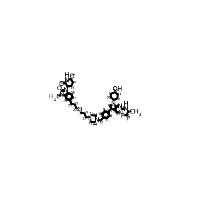 C[C@@H](Nc1ncc2c(-c3ccc(CN4CCN(CCCOCCCc5ccc6c(c5)n(C)c(=O)n6C5CCC(=O)NC5=O)CC4)cc3)cn([C@H]3CC[C@H](O)CC3)c2n1)C(F)F